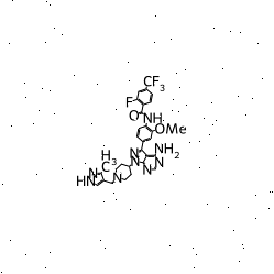 COc1cc(-c2nn(C3CCN(Cc4c[nH]nc4C)CC3)c3ncnc(N)c23)ccc1NC(=O)c1ccc(C(F)(F)F)cc1F